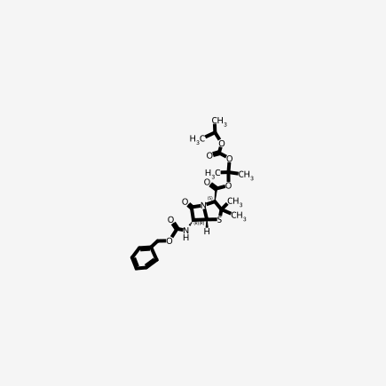 CC(C)OC(=O)OC(C)(C)OC(=O)[C@@H]1N2C(=O)[C@@H](NC(=O)OCc3ccccc3)[C@H]2SC1(C)C